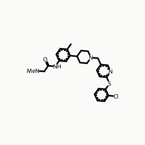 CNCC(=O)Nc1ccc(C)c(C2CCN(Cc3ccc(Sc4ccccc4Cl)nc3)CC2)c1